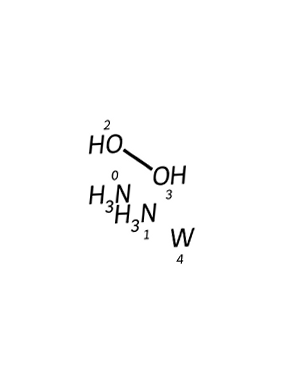 N.N.OO.[W]